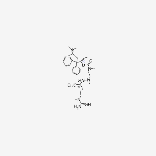 C/C=C(\OC(=O)N(C)CCN(C)N[C@H](C=O)CCCNC(=N)N)C(CC(C)N(C)C)(c1ccccc1)c1ccccc1